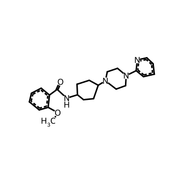 COc1ccccc1C(=O)NC1CCC(N2CCN(c3ccccn3)CC2)CC1